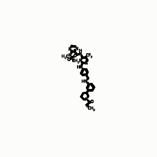 C=CC(=O)N1CCCC(c2cccc(NCc3ccc(Nc4ncc(C(F)(F)F)c(NCc5nccnc5N(C)S(C)(=O)=O)n4)cc3)c2)C1